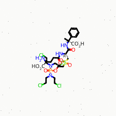 C[C@@](NC(=O)[C@H](CS(=O)(=O)CCOP(=O)(N(CCCl)CCCl)N(CCCl)CCCl)NC(=O)CC[C@H](N)C(=O)O)(C(=O)O)c1ccccc1